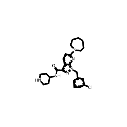 O=C(NC1CCNCC1)c1nn(Cc2cccc(Cl)c2)c2nc(N3CCCCCC3)ccc12